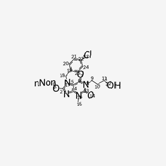 CCCCCCCCCOc1nc2c(c(=O)n(CCCO)c(=O)n2C)n1Cc1ccc(Cl)cc1